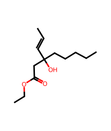 C/C=C/C(O)(CCCCC)CC(=O)OCC